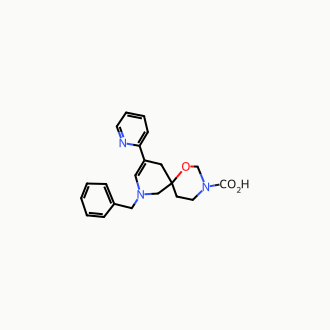 O=C(O)N1CCC2(CC(c3ccccn3)=CN(Cc3ccccc3)C2)OC1